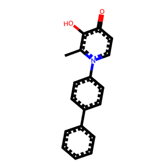 Cc1c(O)c(=O)ccn1-c1ccc(-c2ccccc2)cc1